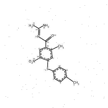 Cc1ccc(Sc2cc(C)c(C(=O)N=C(N)N)cc2[N+](=O)[O-])cc1